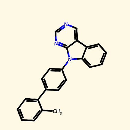 Cc1ccccc1-c1ccc(-n2c3ccccc3c3cncnc32)cc1